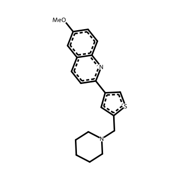 COc1ccc2nc(-c3csc(CN4CCCCC4)c3)ccc2c1